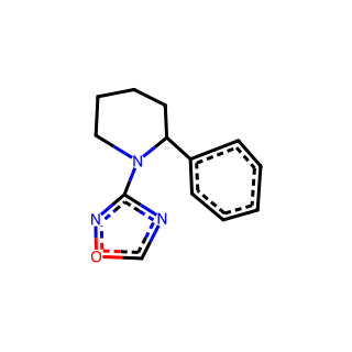 c1ccc(C2CCCCN2c2ncon2)cc1